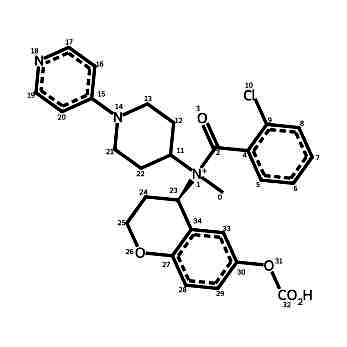 C[N+](C(=O)c1ccccc1Cl)(C1CCN(c2ccncc2)CC1)[C@@H]1CCOc2ccc(OC(=O)O)cc21